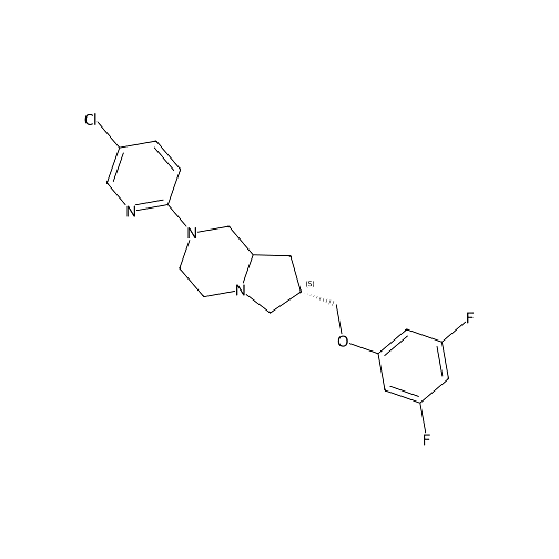 Fc1cc(F)cc(OC[C@H]2CC3CN(c4ccc(Cl)cn4)CCN3C2)c1